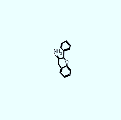 NN=C1Cc2ccccc2OC1c1ccccc1